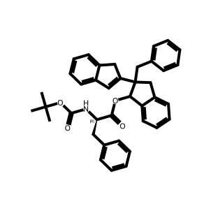 CC(C)(C)OC(=O)N[C@H](Cc1ccccc1)C(=O)OC1c2ccccc2CC1(Cc1ccccc1)C1=Cc2ccccc2C1